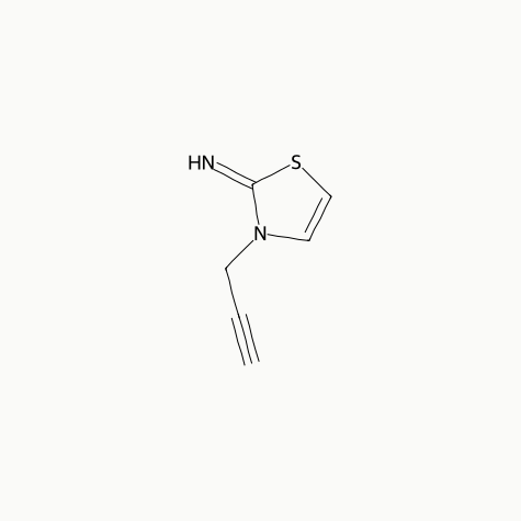 C#CCn1ccsc1=N